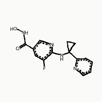 O=C(NO)c1cnc(NC2(c3ccccn3)CC2)c(F)c1